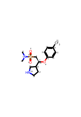 CN(C)S(=O)(=O)C[C@@H](Oc1ccc(C(F)(F)F)cc1)C1CCNC1